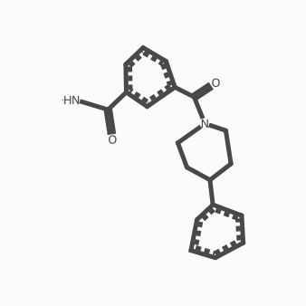 [NH]C(=O)c1cccc(C(=O)N2CCC(c3ccccc3)CC2)c1